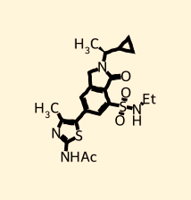 CCNS(=O)(=O)c1cc(-c2sc(NC(C)=O)nc2C)cc2c1C(=O)N([C@@H](C)C1CC1)C2